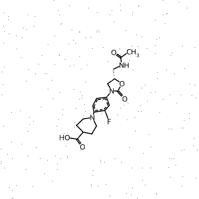 CC(=O)NC[C@H]1CN(c2ccc(N3CCC(C(=O)O)CC3)c(F)c2)C(=O)O1